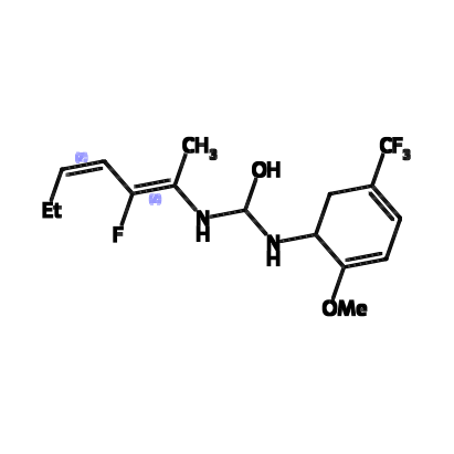 CC/C=C\C(F)=C(/C)NC(O)NC1CC(C(F)(F)F)=CC=C1OC